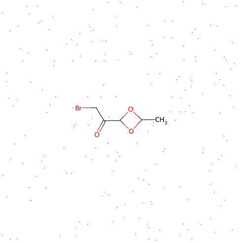 CC1OC(C(=O)CBr)O1